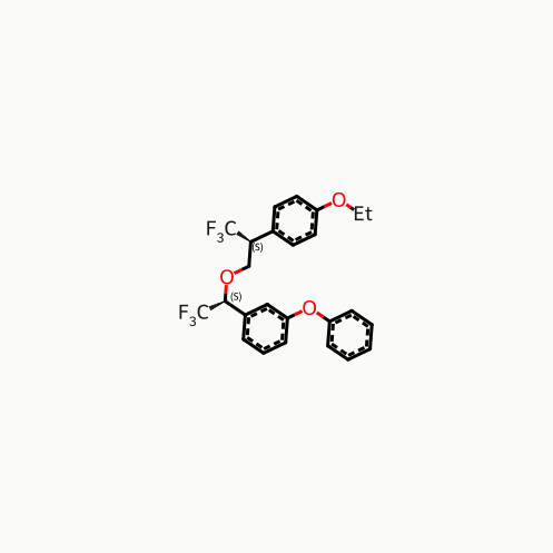 CCOc1ccc([C@@H](CO[C@@H](c2cccc(Oc3ccccc3)c2)C(F)(F)F)C(F)(F)F)cc1